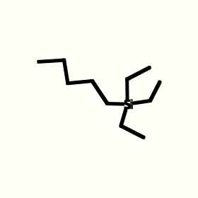 CCCCC[Si](CC)(CC)CC